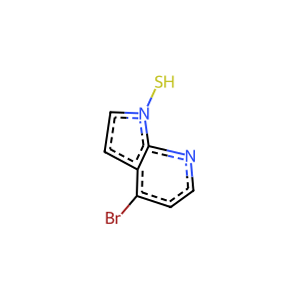 Sn1ccc2c(Br)ccnc21